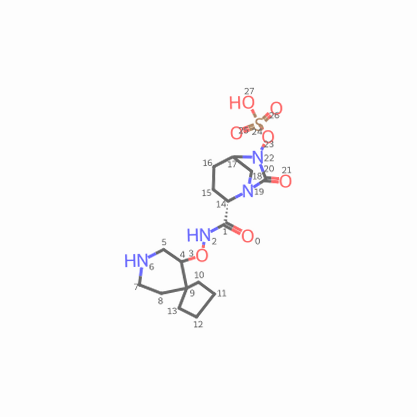 O=C(NOC1CNCCC12CCCC2)[C@@H]1CCC2CN1C(=O)N2OS(=O)(=O)O